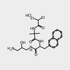 CCC(CC)C(=O)NC(C)(C)C(=O)NC(Cc1ccc2ccccc2c1)C(=O)NCC(O)CN.Cl